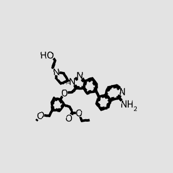 CCOC(=O)Cc1cc(COC)ccc1OCc1c2cc(-c3cccc4c(N)nccc34)ccc2nn1[C@H]1CCN(CCO)C1